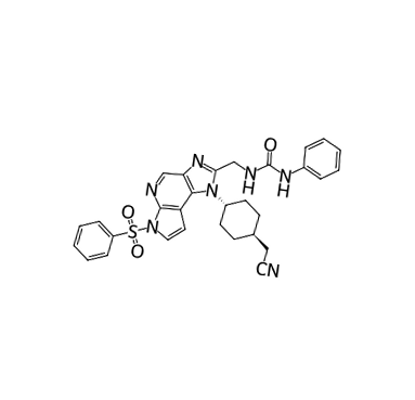 N#CC[C@H]1CC[C@H](n2c(CNC(=O)Nc3ccccc3)nc3cnc4c(ccn4S(=O)(=O)c4ccccc4)c32)CC1